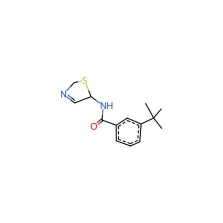 CC(C)(C)c1cccc(C(=O)NC2C=NCS2)c1